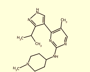 Cc1cnc(NC2CCN(C)CC2)nc1-c1c[nH]nc1C(C)C